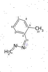 C=N/N=C\c1ccccc1C